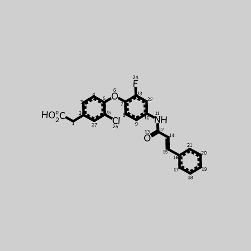 O=C(O)Cc1ccc(Oc2ccc(NC(=O)/C=C/c3ccccc3)cc2F)c(Cl)c1